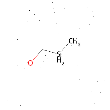 C[SiH2]C[O]